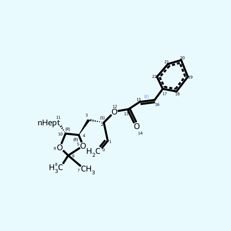 C=C[C@H](C[C@H]1OC(C)(C)O[C@@H]1CCCCCCC)OC(=O)/C=C/c1ccccc1